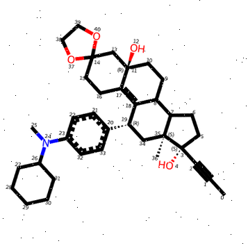 CC#C[C@]1(O)CCC2C3CC[C@@]4(O)CC5(CCC4=C3[C@@H](c3ccc(N(C)C4CCCCC4)cc3)C[C@@]21C)OCCO5